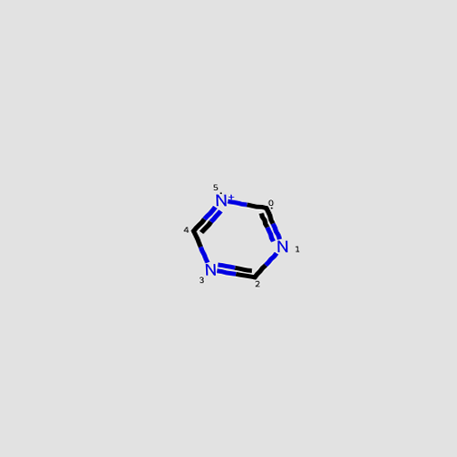 [C]1=NC=NC=[N+]1